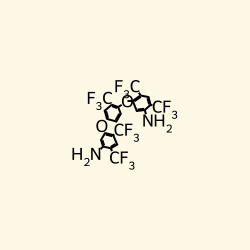 Nc1cc(Oc2ccc(Oc3cc(N)c(C(F)(F)F)cc3C(F)(F)F)c(C(F)(F)F)c2)c(C(F)(F)F)cc1C(F)(F)F